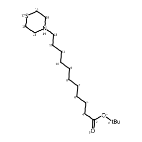 CC(C)(C)OC(=O)CCCCCCCCCCN1CCSCC1